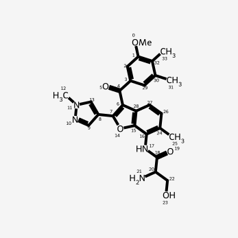 COc1cc(C(=O)c2c(-c3cnn(C)c3)oc3c(NC(=O)C(N)CO)c(C)ccc23)cc(C)c1C